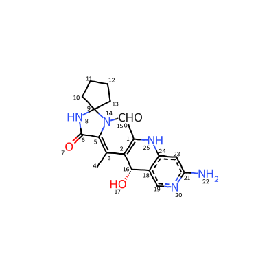 CC1=C(/C(C)=C2/C(=O)NC3(CCCC3)N2C=O)[C@@H](O)c2cnc(N)cc2N1